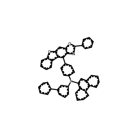 c1ccc(-c2cccc(N(c3ccc(-c4c5nc(-c6ccccc6)oc5cc5oc6ccccc6c45)cc3)c3cc4ccccc4c4ccccc34)c2)cc1